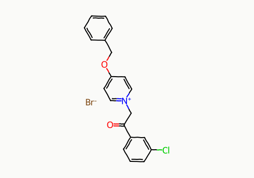 O=C(C[n+]1ccc(OCc2ccccc2)cc1)c1cccc(Cl)c1.[Br-]